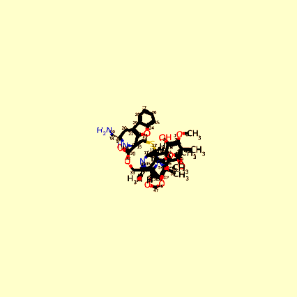 COc1c(C)cc2c(c1O)[C@@H]1[C@@H]3[C@@H]4SC[C@]5(N[C@H](CN)Cc6c5oc5ccccc65)C(=O)OC[C@@H](c5c6c(c(C)c(OC(C)=O)c54)OCO6)N3[C@@H](C)[C@H]3C[C@@]2(C)N31